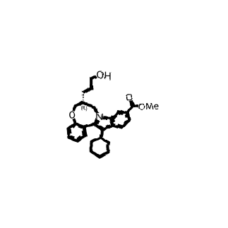 COC(=O)c1ccc2c(C3CCCCC3)c3n(c2c1)C[C@@H](CCCO)COc1ccccc1-3